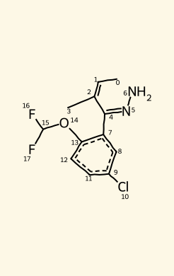 C/C=C(C)\C(=N/N)c1cc(Cl)ccc1OC(F)F